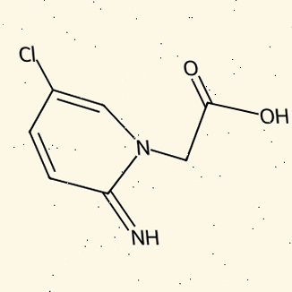 N=c1ccc(Cl)cn1CC(=O)O